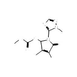 COC(=O)OC1C(C)=C(C)C(=O)N1c1ncnn1C